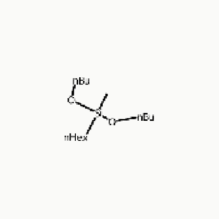 CCCCCC[Si](C)(OCCCC)OCCCC